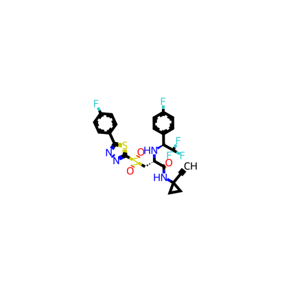 C#CC1(NC(=O)[C@H](CS(=O)(=O)c2nnc(-c3ccc(F)cc3)s2)N[C@@H](c2ccc(F)cc2)C(F)(F)F)CC1